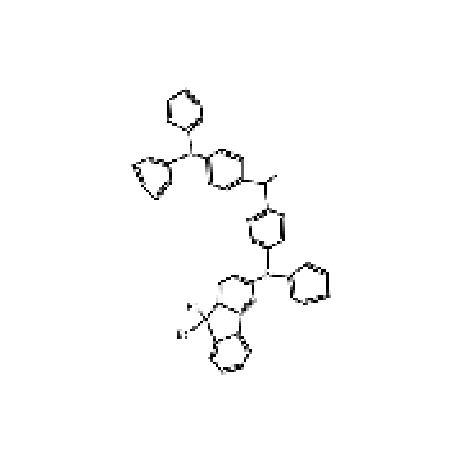 CCC1(CC)c2ccccc2-c2cc(N(c3ccccc3)c3ccc(C(C)c4ccc(N(c5ccccc5)c5ccccc5)cc4)cc3)ccc21